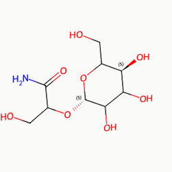 NC(=O)C(CO)O[C@@H]1OC(CO)[C@@H](O)C(O)C1O